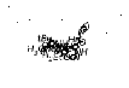 C#Cc1cc(Nc2cc(Oc3ccc(NC(=O)Nc4cc(C(C)(C)C)cc(NS(C)(=O)=O)c4OC)c(C=C)c3CC)ccn2)cc(C(=O)NCCN2CCOCC2)c1